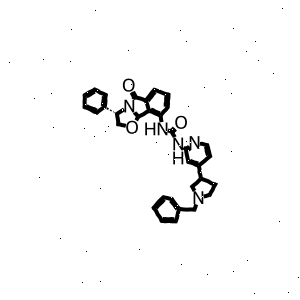 O=C(Nc1cc(C2CCN(Cc3ccccc3)C2)ccn1)Nc1cccc2c1C1OC[C@H](c3ccccc3)N1C2=O